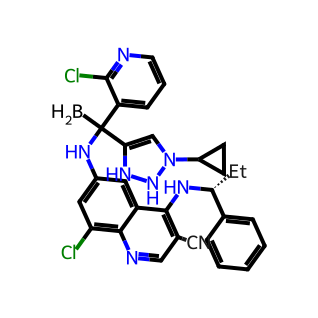 BC(Nc1cc(Cl)c2ncc(C#N)c(N[C@H](CC)c3ccccc3)c2c1)(C1=CN(C2CC2)NN1)c1cccnc1Cl